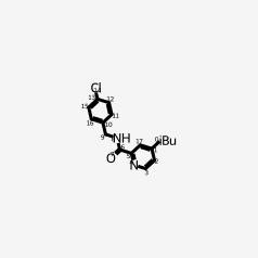 CCC(C)c1ccnc(C(=O)NCc2ccc(Cl)cc2)c1